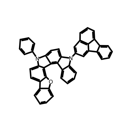 c1ccc(-n2c3ccc4c5ccccc5oc4c3c3c4c5ccccc5n(-c5cc6c7c(cccc7c5)-c5ccccc5-6)c4ccc32)cc1